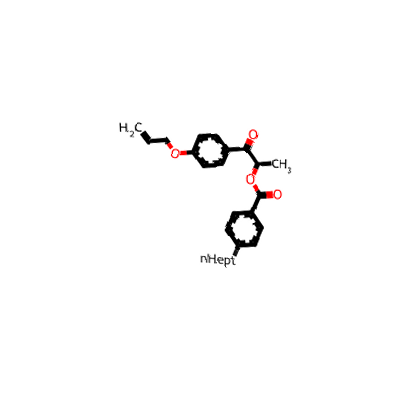 C=CCOc1ccc(C(=O)C(C)OC(=O)c2ccc(CCCCCCC)cc2)cc1